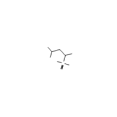 CCC(CC(C)O)P(=O)(O)O